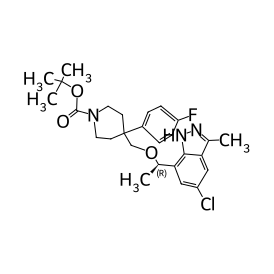 Cc1n[nH]c2c([C@@H](C)OCC3(c4ccc(F)cc4)CCN(C(=O)OC(C)(C)C)CC3)cc(Cl)cc12